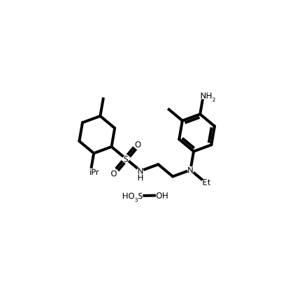 CCN(CCNS(=O)(=O)C1CC(C)CCC1C(C)C)c1ccc(N)c(C)c1.O=S(=O)(O)O